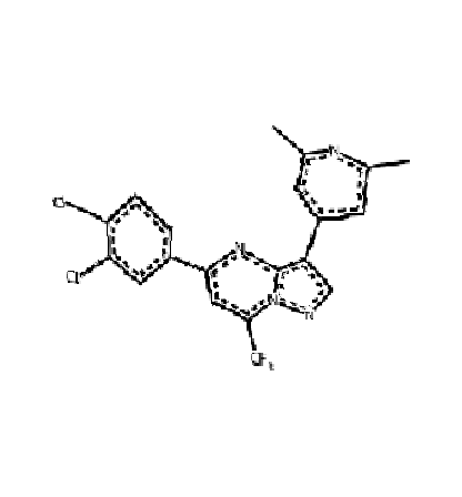 Cc1cc(-c2cnn3c(C(F)(F)F)cc(-c4ccc(Cl)c(Cl)c4)nc23)cc(C)n1